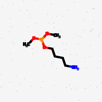 COP(OC)OCCCCN